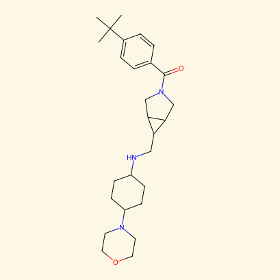 CC(C)(C)c1ccc(C(=O)N2CC3C(CNC4CCC(N5CCOCC5)CC4)C3C2)cc1